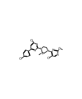 COc1ncc(Cl)c(N2CCN(c3nc(Cl)cc(-c4ccc(Cl)cc4)n3)[C@H](C)C2)n1